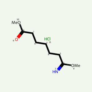 COC(=N)CCCCCC(=O)OC.Cl